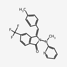 Cc1ccc(C=C2c3cc(C(F)(F)F)ccc3C(=O)N2N(C)c2ccccn2)cc1